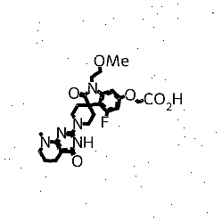 COCCN1C(=O)C2(CCN(c3nc4c(c(=O)[nH]3)CCCN4C)CC2)c2c(F)cc(OCC(=O)O)cc21